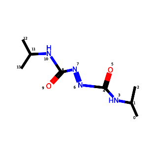 CC(C)NC(=O)N=NC(=O)NC(C)C